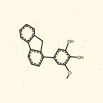 COc1cc(-c2cccc3c2Cc2ccccc2-3)cc(O)c1O